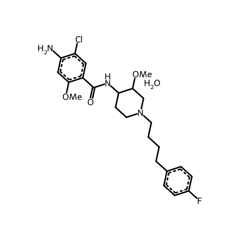 COc1cc(N)c(Cl)cc1C(=O)NC1CCN(CCCCc2ccc(F)cc2)CC1OC.O